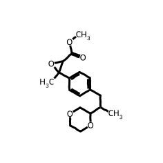 COC(=O)C1OC1(C)c1ccc(CC(C)C2COCCO2)cc1